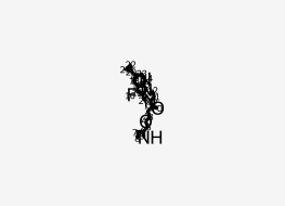 O=C(CCOCC1CCN1)N1CCn2c(c(F)c3cc(C4CC4)cnc32)C1